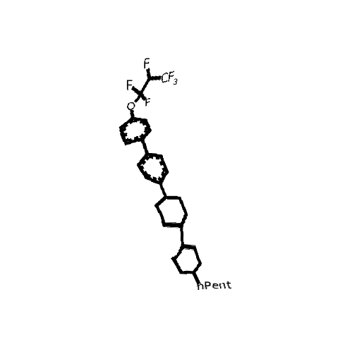 CCCCCC1CCC(C2CCC(c3ccc(-c4ccc(OC(F)(F)C(F)C(F)(F)F)cc4)cc3)CC2)CC1